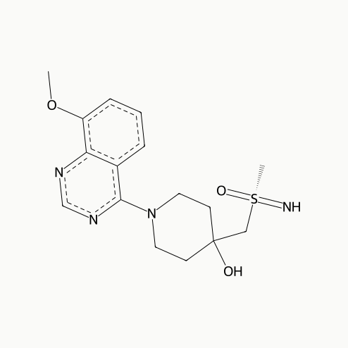 COc1cccc2c(N3CCC(O)(C[S@](C)(=N)=O)CC3)ncnc12